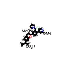 COC[C@@H]1CCCN1Cc1cc([C@@H]2CCc3ccc(C(C4CC4)[C@H](C)C(=O)O)cc3O2)ccc1-c1cc(OC)ncc1F